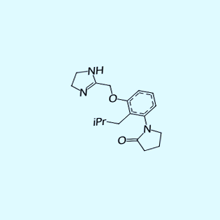 CC(C)Cc1c(OCC2=NCCN2)cccc1N1CCCC1=O